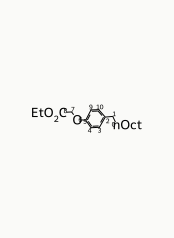 CCCCCCCCCc1ccc(OCC(=O)OCC)cc1